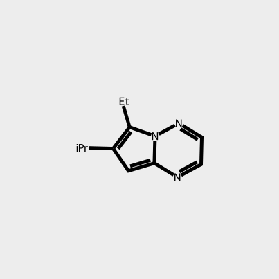 CCc1c(C(C)C)cc2nccnn12